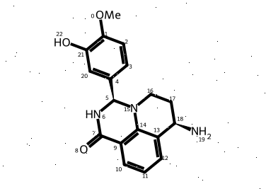 COc1ccc([C@@H]2NC(=O)c3cccc4c3N2CC[C@H]4N)cc1O